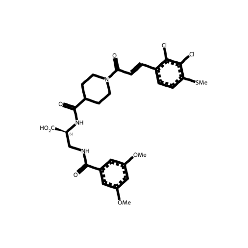 COc1cc(OC)cc(C(=O)NC[C@H](NC(=O)C2CCN(C(=O)C=Cc3ccc(SC)c(Cl)c3Cl)CC2)C(=O)O)c1